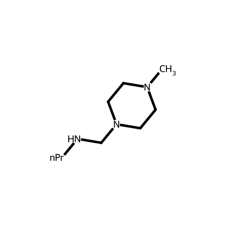 CCCNCN1CCN(C)CC1